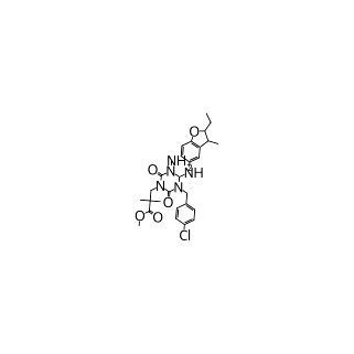 CCC1Oc2ccc(NC3N(N)C(=O)N(CC(C)(C)C(=O)OC)C(=O)N3Cc3ccc(Cl)cc3)cc2C1C